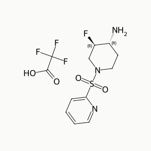 N[C@@H]1CCN(S(=O)(=O)c2ccccn2)C[C@H]1F.O=C(O)C(F)(F)F